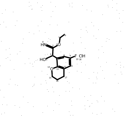 CCOC(=N)C(O)c1cc(F)cc2c1OCCC2.Cl